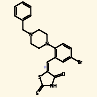 O=C1NC(=S)S/C1=C/c1cc(Br)ccc1N1CCN(Cc2ccccc2)CC1